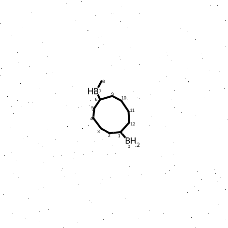 BC1CCCCC(BC)CCCC1